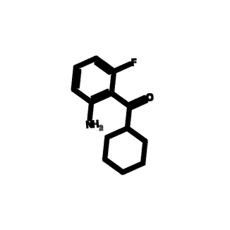 Nc1cccc(F)c1C(=O)C1CCCCC1